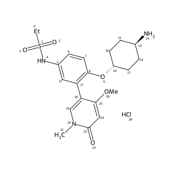 CCS(=O)(=O)Nc1ccc(O[C@H]2CC[C@H](N)CC2)c(-c2cn(C)c(=O)cc2OC)c1.Cl